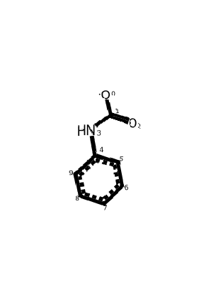 [O]C(=O)Nc1ccccc1